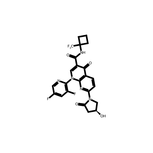 O=C(NC1(C(F)(F)F)CCC1)c1cn(-c2ncc(F)cc2F)c2nc(N3C[C@@H](O)CC3=O)ccc2c1=O